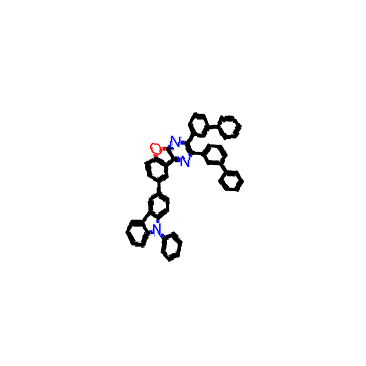 c1ccc(-c2cccc(-c3nc4oc5ccc(-c6ccc7c(c6)c6ccccc6n7-c6ccccc6)cc5c4nc3-c3cccc(-c4ccccc4)c3)c2)cc1